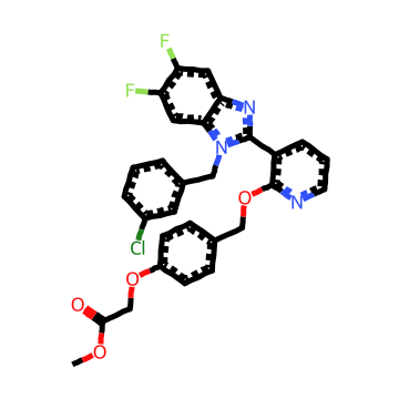 COC(=O)COc1ccc(COc2ncccc2-c2nc3cc(F)c(F)cc3n2Cc2cccc(Cl)c2)cc1